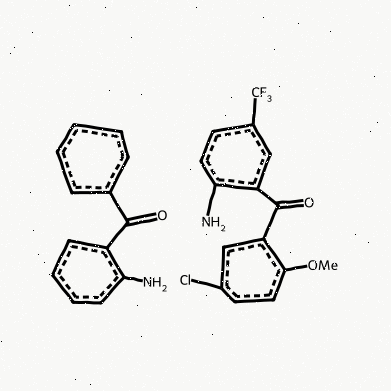 COc1ccc(Cl)cc1C(=O)c1cc(C(F)(F)F)ccc1N.Nc1ccccc1C(=O)c1ccccc1